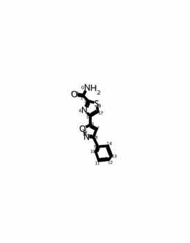 NC(=O)c1nc(-c2cc(-c3ccccc3)no2)cs1